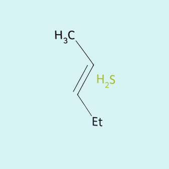 CC=CCC.S